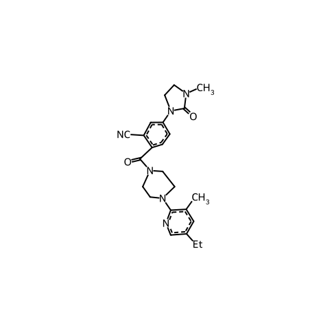 CCc1cnc(N2CCN(C(=O)c3ccc(N4CCN(C)C4=O)cc3C#N)CC2)c(C)c1